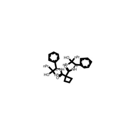 CCCC(O)(CCC)[C@H](NC(=O)C1(C(=O)N[C@H](c2ccccc2)C(O)(CCC)CCC)CCC1)c1ccccc1